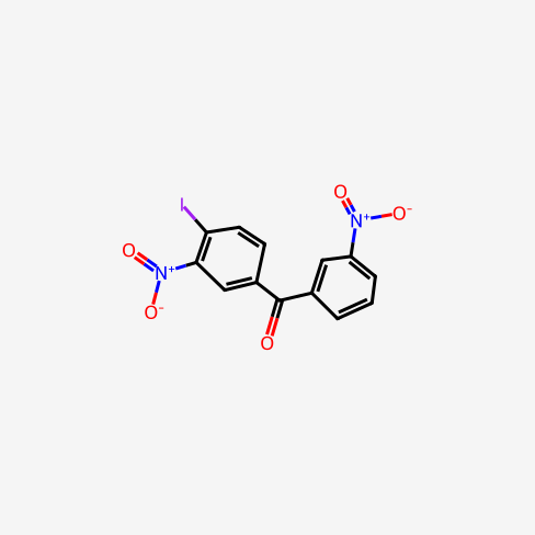 O=C(c1cccc([N+](=O)[O-])c1)c1ccc(I)c([N+](=O)[O-])c1